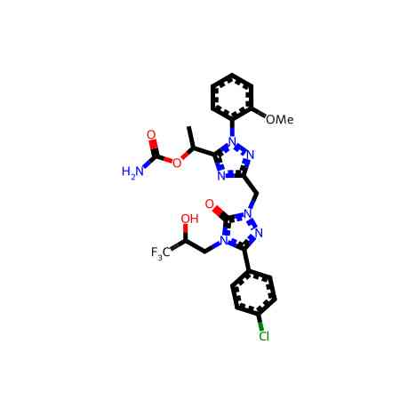 COc1ccccc1-n1nc(Cn2nc(-c3ccc(Cl)cc3)n(CC(O)C(F)(F)F)c2=O)nc1C(C)OC(N)=O